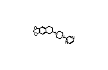 c1cnc(N2CCN(C3CCc4cc5c(cc4C3)OCO5)CC2)cn1